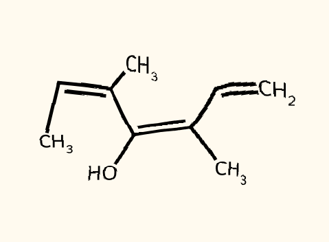 C=C/C(C)=C(O)\C(C)=C/C